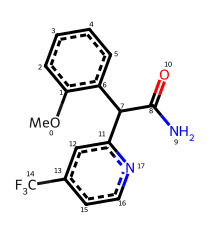 COc1ccccc1C(C(N)=O)c1cc(C(F)(F)F)ccn1